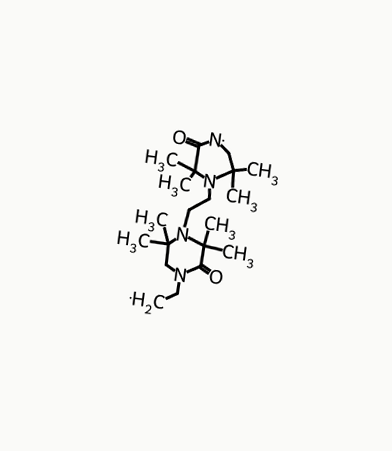 [CH2]CN1CC(C)(C)N(CCN2C(C)(C)C[N]C(=O)C2(C)C)C(C)(C)C1=O